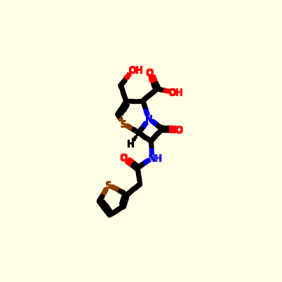 O=C(Cc1cccs1)NC1C(=O)N2C(C(=O)O)C(CO)=CS[C@H]12